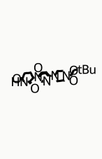 CC(C)(C)OC(=O)N1CCN(c2cc(=O)n(C3CCC(=O)NC3=O)cn2)CC1